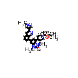 Cn1cc(-c2cc3cccc(-c4cc(C5=CCN(C(=O)OC(C)(C)C)CC5)c5c(c4)n(C)c(=O)n5C)c3cn2)cn1